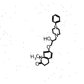 CN1C(=O)CCc2ccc(OCC(O)CN3CCN(c4ccccc4)CC3)cc21